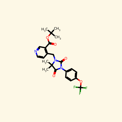 CC(C)(C)OC(=O)c1cnccc1CN1C(=O)N(c2ccc(OC(F)(F)F)cc2)C(=O)C1(C)C